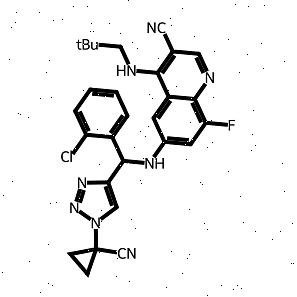 CC(C)(C)CNc1c(C#N)cnc2c(F)cc(NC(c3cn(C4(C#N)CC4)nn3)c3ccccc3Cl)cc12